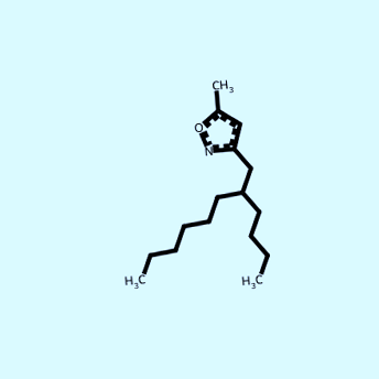 CCCCCCC(CCCC)Cc1cc(C)on1